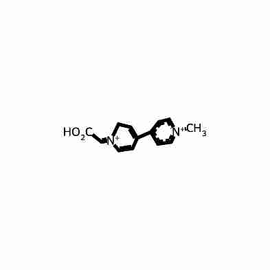 C[n+]1ccc(C2=CC[N+](=CC(=O)O)C=C2)cc1